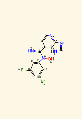 N=C(c1ccnc2nc[nH]c12)N(O)c1cc(F)cc(Br)c1